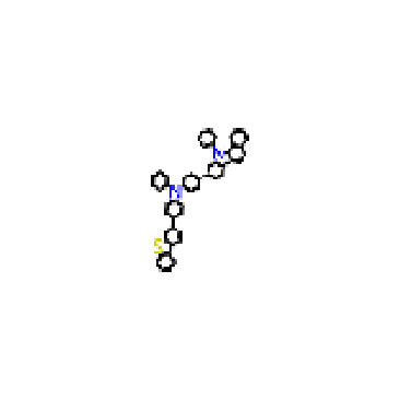 c1ccc(N(c2ccc(-c3ccc4c(c3)sc3ccccc34)cc2)c2ccc(-c3ccc4c5ccc6ccccc6c5n(-c5ccccc5)c4c3)cc2)cc1